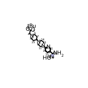 CC(C)(C)OC(=O)CN1CCC(N2CCN(c3ccc(/C(N)=N\O)cn3)CC2)CC1